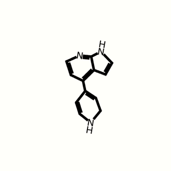 C1=CC(c2ccnc3[nH]ccc23)=CCN1